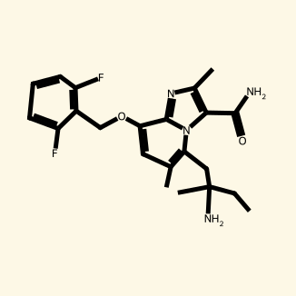 CCC(C)(N)Cc1c(C)cc(OCc2c(F)cccc2F)c2nc(C)c(C(N)=O)n12